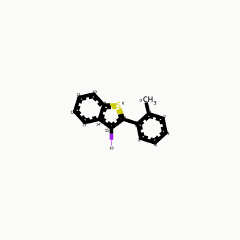 Cc1ccccc1-c1sc2ccccc2c1I